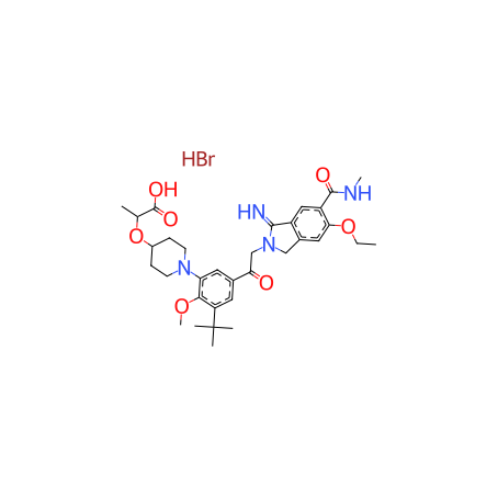 Br.CCOc1cc2c(cc1C(=O)NC)C(=N)N(CC(=O)c1cc(N3CCC(OC(C)C(=O)O)CC3)c(OC)c(C(C)(C)C)c1)C2